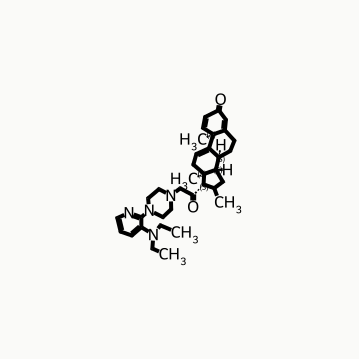 CCN(CC)c1cccnc1N1CCN(CC(=O)[C@H]2C(C)C[C@H]3[C@@H]4CCC5=CC(=O)C=C[C@]5(C)C4=CC[C@]23C)CC1